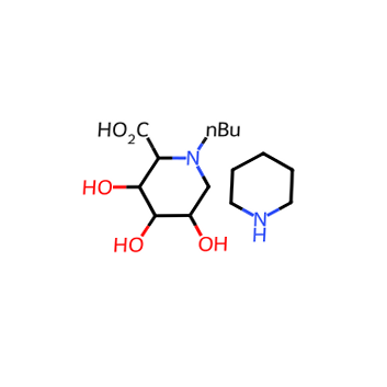 C1CCNCC1.CCCCN1CC(O)C(O)C(O)C1C(=O)O